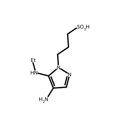 CCNc1c(N)cnn1CCCS(=O)(=O)O